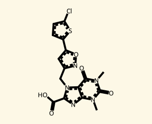 Cn1c(=O)c2c(nc(C(=O)O)n2Cc2cc(-c3ccc(Cl)s3)on2)n(C)c1=O